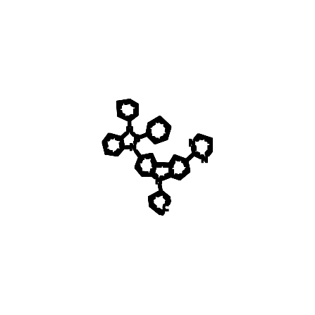 c1ccc(B2N(c3ccccc3)c3ccccc3N2c2ccc3c(c2)c2cc(-c4ncccn4)ccc2n3-c2ccccc2)cc1